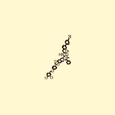 CC[C@@H](c1ccccc1)N1Cc2cc3c(cc2C[C@H]1C(=O)NC(Cc1ccc(-c2ccc(C#N)cc2)cc1)C(=O)OC)OC[C@@H](c1ccc(OCc2ccc(Cl)c(Cl)c2)cc1)O3